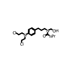 CCCC(=O)N(CO)CCCc1ccc(N(CCCl)CCCl)cc1